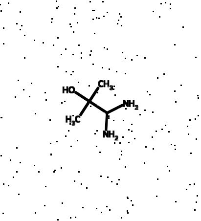 CC(C)(O)C(N)N